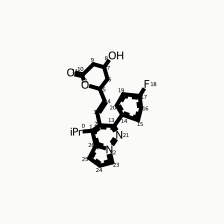 CC(C)c1c(/C=C/C2CC(O)CC(=O)O2)c(-c2ccc(F)cc2)nn2cccc12